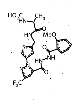 COc1ccccc1C(=O)NNC(=O)c1cc(C(F)(F)F)nn1-c1csc(CNC(=O)C(C)NC(=O)O)c1